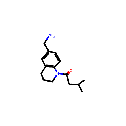 CC(C)CC(=O)N1CCCc2cc(CN)ccc21